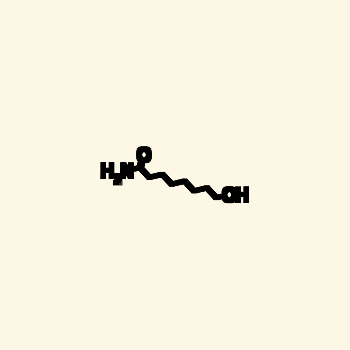 NC(=O)CCCCCCCO